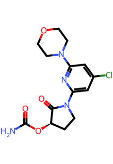 NC(=O)O[C@@H]1CCN(c2cc(Cl)cc(N3CCOCC3)n2)C1=O